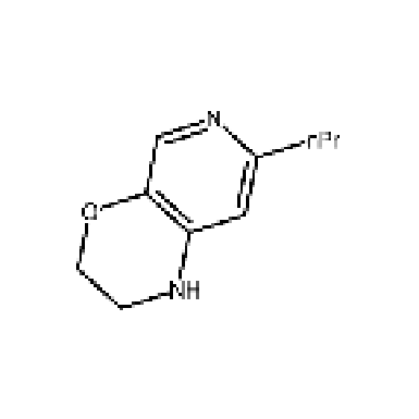 CCCc1cc2c(cn1)OCCN2